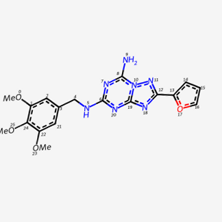 COc1cc(CNc2nc(N)n3nc(-c4ccco4)nc3n2)cc(OC)c1OC